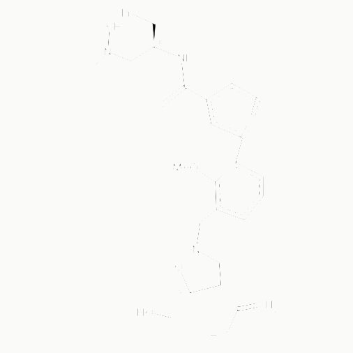 C=C(C)[C@H]1CN(Cc2cccc(-c3cccc(C(=O)N[C@H](CC(C)C)CN(C)C)c3)c2OC)O[C@H]1CO